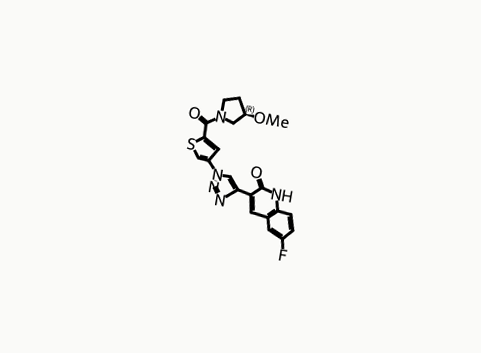 CO[C@@H]1CCN(C(=O)c2cc(-n3cc(-c4cc5cc(F)ccc5[nH]c4=O)nn3)cs2)C1